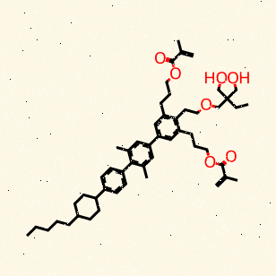 C=C(C)C(=O)OCCCc1cc(-c2cc(C)c(-c3ccc(C4CCC(CCCCC)CC4)cc3)c(C)c2)cc(CCCOC(=O)C(=C)C)c1CCOCC(CC)(CO)CO